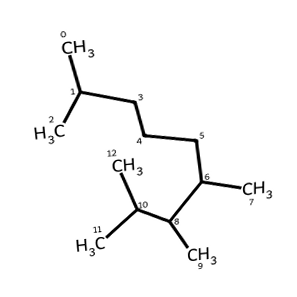 CC(C)CCCC(C)C(C)C(C)C